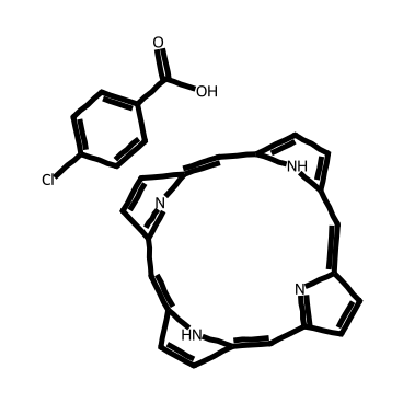 C1=Cc2cc3ccc(cc4nc(cc5ccc(cc1n2)[nH]5)C=C4)[nH]3.O=C(O)c1ccc(Cl)cc1